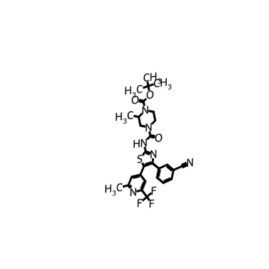 Cc1cc(-c2sc(NC(=O)N3CCN(C(=O)OC(C)(C)C)C(C)C3)nc2-c2cccc(C#N)c2)cc(C(F)(F)F)n1